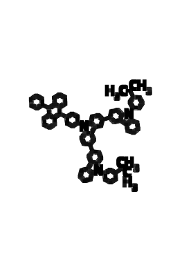 CC(C)c1cccc(-n2c3ccccc3c3cc(-c4ccc5c(c4)c4cc(-c6ccc7c(c6)c6ccccc6n7-c6cccc(C(C)C)c6)ccc4n5-c4ccc(-c5c6ccccc6c(-c6ccccc6)c6ccccc56)cc4)ccc32)c1